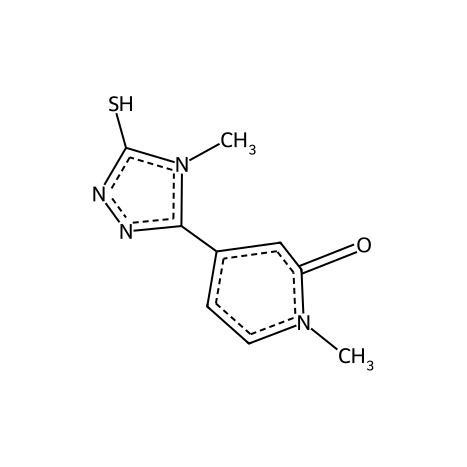 Cn1c(S)nnc1-c1ccn(C)c(=O)c1